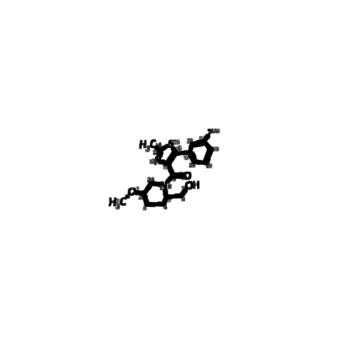 COC1CCC(CO)N(C(=O)c2nc(C)sc2-c2cccc(F)c2)C1